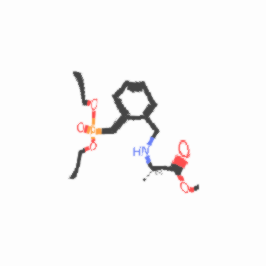 CCOP(=O)(Cc1ccccc1CN[C@@H](C)C(=O)OC)OCC